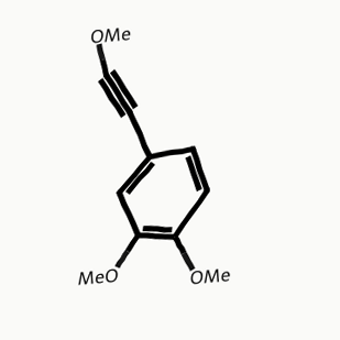 COC#Cc1ccc(OC)c(OC)c1